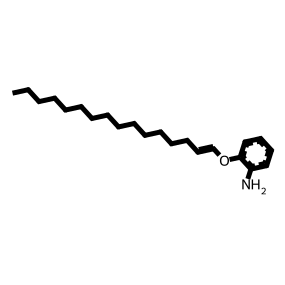 CCCCCCCCCCCCCCC=COc1ccccc1N